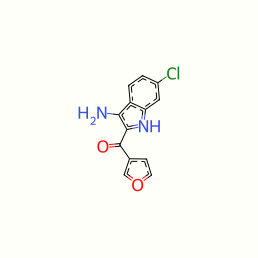 Nc1c(C(=O)c2ccoc2)[nH]c2cc(Cl)ccc12